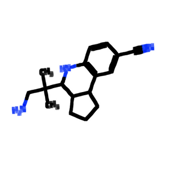 CC(C)(CN)C1Nc2ccc(C#N)cc2C2CCCC21